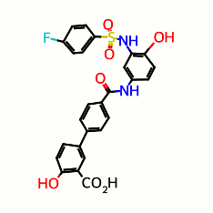 O=C(Nc1ccc(O)c(NS(=O)(=O)c2ccc(F)cc2)c1)c1ccc(-c2ccc(O)c(C(=O)O)c2)cc1